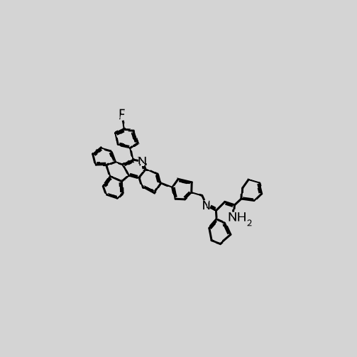 N/C(=C\C(=N/Cc1ccc(-c2ccc3c(c2)nc(-c2ccc(F)cc2)c2c4ccccc4c4ccccc4c32)cc1)C1=CCCC=C1)C1=CC=CCC1